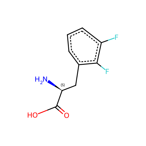 N[C@@H](Cc1cccc(F)c1F)C(=O)O